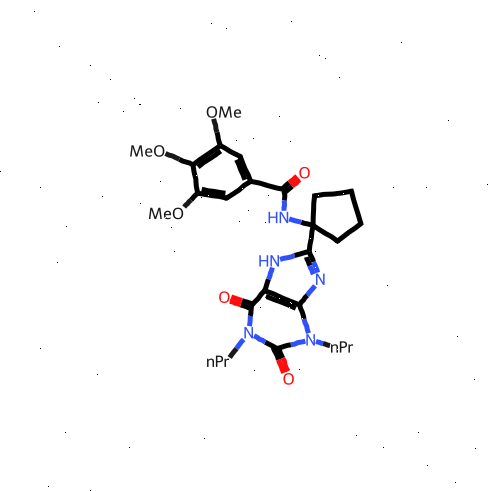 CCCn1c(=O)c2[nH]c(C3(NC(=O)c4cc(OC)c(OC)c(OC)c4)CCCC3)nc2n(CCC)c1=O